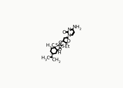 C=C(C)[C@H]1CC[C@@]2(C)S[P@@](=S)(O[C@H]3C[C@H](n4ccc(N)nc4=O)O[C@@H]3CC)O[C@@H]2C1